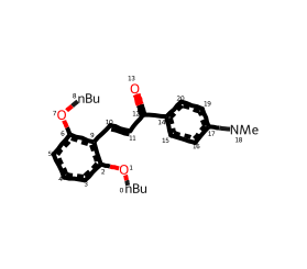 CCCCOc1cccc(OCCCC)c1C=CC(=O)c1ccc(NC)cc1